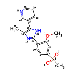 COc1cc(S(C)(=O)=O)ccc1-c1nc(C)c(-c2cccnc2)[nH]1